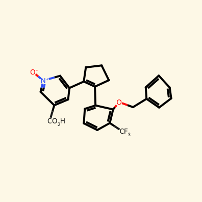 O=C(O)c1cc(C2=C(c3cccc(C(F)(F)F)c3OCc3ccccc3)CCC2)c[n+]([O-])c1